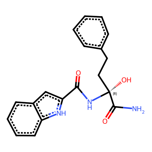 NC(=O)[C@](O)(CCc1ccccc1)NC(=O)c1cc2ccccc2[nH]1